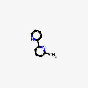 Cc1cccc(-c2[c]cccn2)n1